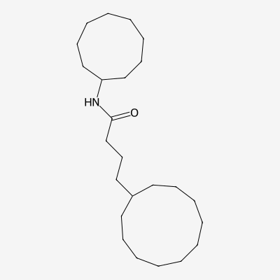 O=C(CCCC1CCCCCCCCCC1)NC1CCCCCCCC1